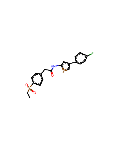 CCS(=O)(=O)c1ccc(CC(=O)Nc2cc(-c3ccc(F)cc3)cs2)cc1